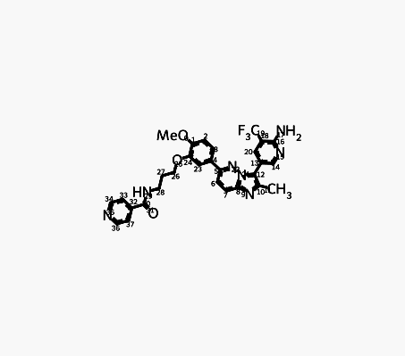 COc1ccc(-c2ccc3nc(C)c(-c4cnc(N)c(C(F)(F)F)c4)n3n2)cc1OCCCNC(=O)c1ccncc1